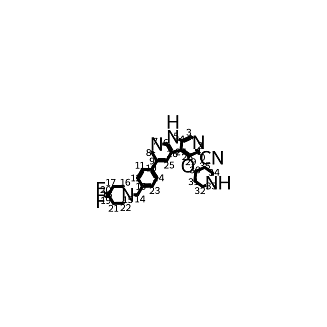 N#Cc1ncc2[nH]c3ncc(-c4ccc(CN5CCC(F)(F)CC5)cc4)cc3c2c1OC1CCNCC1